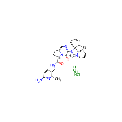 CCC1C=CC=CC1(c1ccccn1)N(C)c1ncc2n(c1=O)[C@H](C(=O)NCc1ccc(N)nc1C)CC2.Cl.Cl.Cl